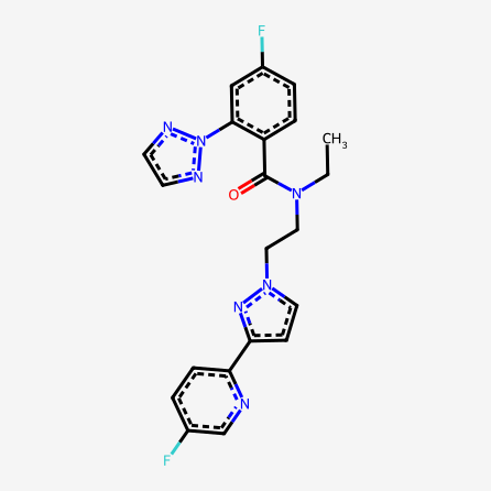 CCN(CCn1ccc(-c2ccc(F)cn2)n1)C(=O)c1ccc(F)cc1-n1nccn1